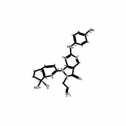 C=CCn1c(=O)c2cnc(Nc3ccc(C(C)(C)C)cc3)nc2n1-c1ccc2c(n1)[C@@](O)(CC)CC2